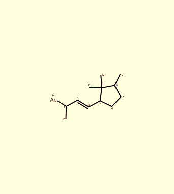 CC(=O)C(C)C=CC1CCC(C)C1(C)C